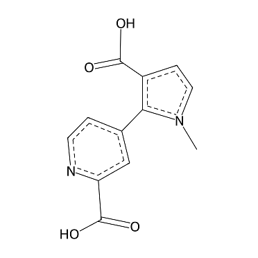 Cn1ccc(C(=O)O)c1-c1ccnc(C(=O)O)c1